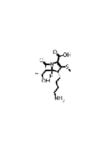 CSC1=C(C(=O)O)N2C(=O)[C@H]([C@@H](C)O)[C@H]2[C@H]1CCCCN